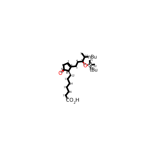 CCCCC(C)C(CCC1=CCC(=O)[C@@H]1CCCCCCC(=O)O)O[Si](C)(C)C(C)(C)C